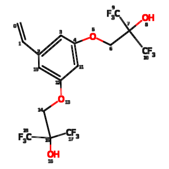 C=Cc1cc(OCC(O)(C(F)(F)F)C(F)(F)F)cc(OCC(O)(C(F)(F)F)C(F)(F)F)c1